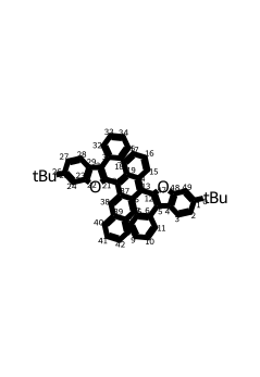 CC(C)(C)c1ccc2c(-c3ccccc3)c(-c3c4ccccc4c(-c4oc5cc(C(C)(C)C)ccc5c4-c4ccccc4)c4cc5ccccc5cc34)oc2c1